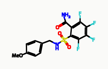 COc1ccc(CNS(=O)(=O)c2c(F)c(F)c(F)c(F)c2C(N)=O)cc1